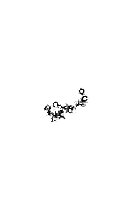 CCC(NC(=O)C(CC1CCCCC1)NC(=O)C(NC(=O)C(CC(C)C)NC(=O)c1cnccn1)C(C)CC)C(=O)C(=O)NCC(=O)NS(=O)(=O)c1cccc(-c2ccccc2)c1